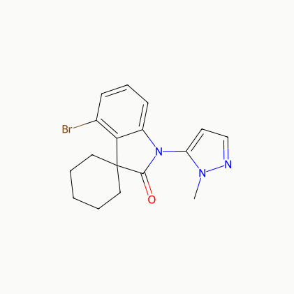 Cn1nccc1N1C(=O)C2(CCCCC2)c2c(Br)cccc21